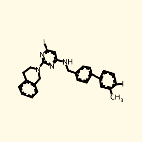 Cc1cc(-c2ccc(CNc3cc(I)nc(N4CCc5ccccc5C4)n3)cc2)ccc1I